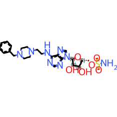 NS(=O)(=O)OC[C@H]1O[C@@H](n2cnc3c(NCCN4CCN(Cc5ccccc5)CC4)ncnc32)[C@H](O)[C@@H]1O